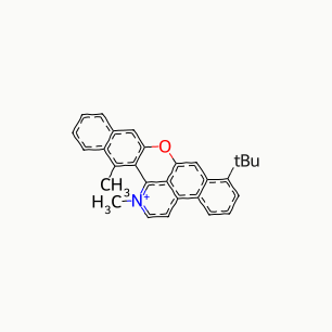 Cc1c2c(cc3ccccc13)Oc1cc3c(C(C)(C)C)cccc3c3cc[n+](C)c-2c13